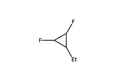 [CH2]CC1C(F)C1F